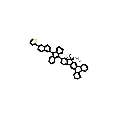 CC1(C)c2cc(-c3c4ccccc4c(-c4ccc5cc(-c6cccs6)ccc5c4)c4ccccc34)ccc2-c2cc3c4ccccc4c4ccccc4c3cc21